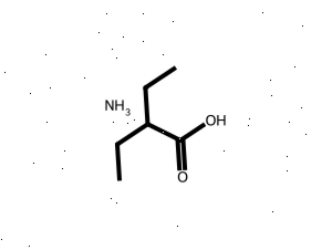 CCC(CC)C(=O)O.N